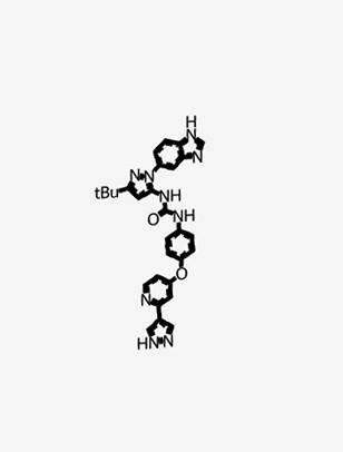 CC(C)(C)c1cc(NC(=O)Nc2ccc(Oc3ccnc(-c4cn[nH]c4)c3)cc2)n(-c2ccc3[nH]cnc3c2)n1